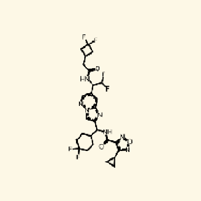 O=C(CC1CC(F)(F)C1)N[C@H](c1cnn2cc([C@@H](NC(=O)c3nonc3C3CC3)C3CCC(F)(F)CC3)nc2c1)C(F)F